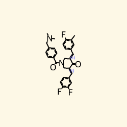 Cc1cc(/C=C2\CN(C(=O)c3ccc(CN(C)C)cc3)C/C(=C\c3ccc(F)c(F)c3)C2=O)ccc1F